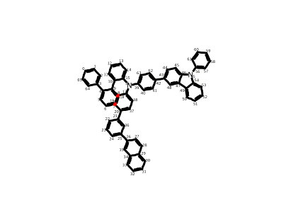 c1ccc(-c2ccccc2-c2ccccc2N(c2ccc(-c3cccc(-c4ccc5ccccc5c4)c3)cc2)c2ccc(-c3ccc4c(c3)c3ccccc3n4-c3ccccc3)cc2)cc1